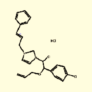 C=CCOC(c1ccc(Cl)cc1)C(Cl)N1C=CN(C/C=C/c2ccccc2)C1.Cl